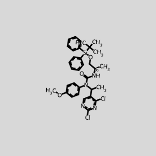 COc1ccc(N(C(=O)N[C@H](C)CO[Si](c2ccccc2)(c2ccccc2)C(C)(C)C)C(C)c2cnc(Cl)nc2Cl)cc1